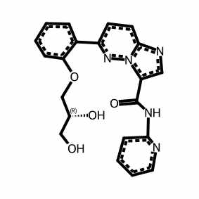 O=C(Nc1ccccn1)c1cnc2ccc(-c3ccccc3OC[C@H](O)CO)nn12